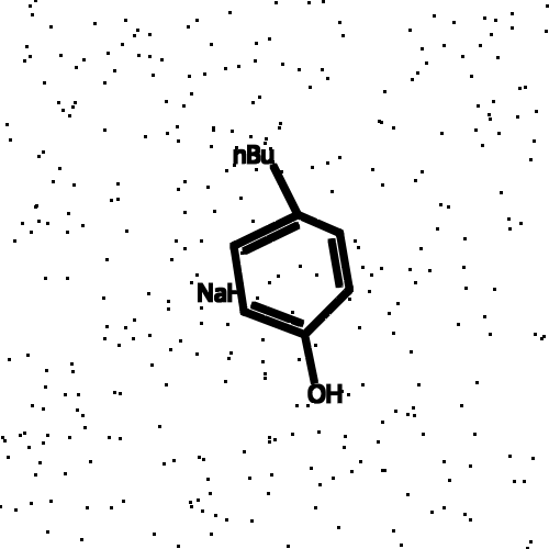 CCCCc1ccc(O)cc1.[NaH]